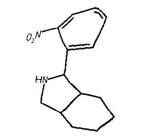 O=[N+]([O-])c1ccccc1C1NCC2CCCCC21